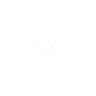 [N-]=[N+]=NCc1ccc2c(c1)C(C(=O)Nc1cn(Cc3ccc(C=N)cc3)nc1CN=[N+]=[N-])=CC(C1=CNCC=C1)N2